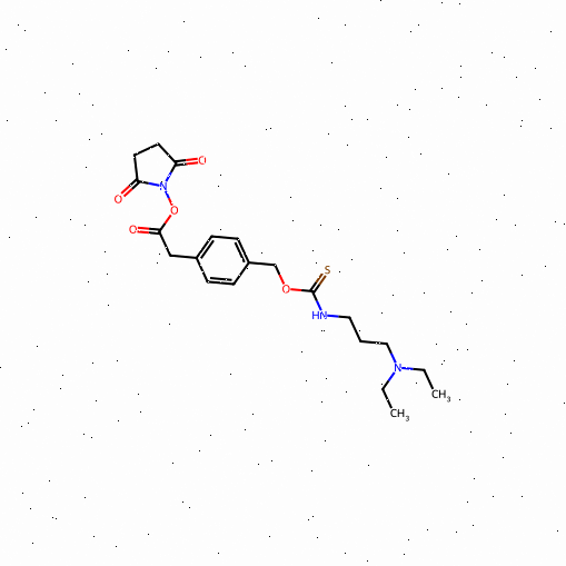 CCN(CC)CCCNC(=S)OCc1ccc(CC(=O)ON2C(=O)CCC2=O)cc1